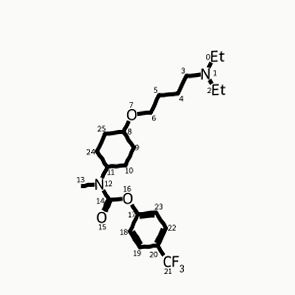 CCN(CC)CCCCOC1CCC(N(C)C(=O)Oc2ccc(C(F)(F)F)cc2)CC1